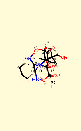 CC(C)(CO)C1(O)N[C@]2(CCCC[C@]23NOC(=O)[C@@](O)(C(C)(C)CO)N3)NOC1=O.[Pt]